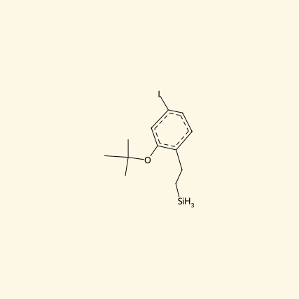 CC(C)(C)Oc1cc(I)ccc1CC[SiH3]